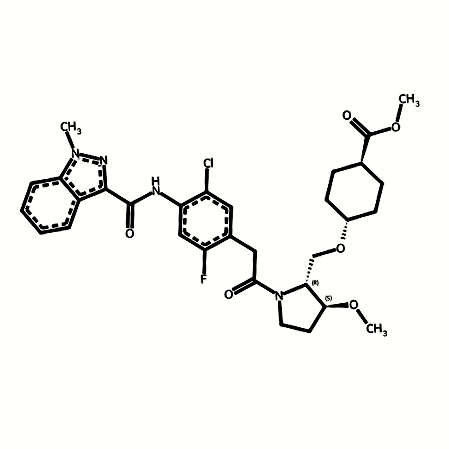 COC(=O)[C@H]1CC[C@H](OC[C@@H]2[C@@H](OC)CCN2C(=O)Cc2cc(Cl)c(NC(=O)c3nn(C)c4ccccc34)cc2F)CC1